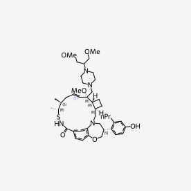 CCCc1cc(O)ccc1[C@@H]1COc2ccc3cc2N(C1)C[C@@H]1CC[C@H]1[C@@](CN1CCN(C(COC)COC)CC1)(OC)/C=C/C[C@H](C)[C@@H](C)SNC3=O